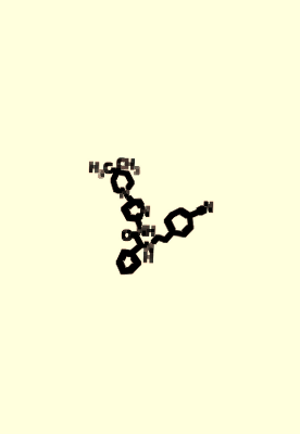 CC1(C)CCN(c2ccc(NC(=O)[C@@H](NCCC3=CCC=C(C#N)C=C3)c3ccccc3)nc2)CC1